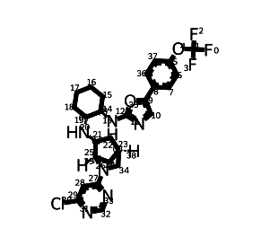 FC(F)(F)Oc1ccc(-c2cnc(N[C@@H]3CCCC[C@H]3N[C@H]3C[C@@H]4C[C@H]3N(c3cc(Cl)ncn3)C4)o2)cc1